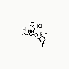 CNCc1cc(OCc2cc(F)cc(F)c2F)n(CC2CCCC2)n1.Cl